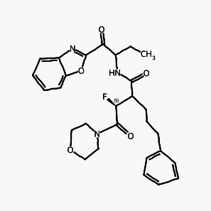 CCC(NC(=O)C(CCCc1ccccc1)[C@H](F)C(=O)N1CCOCC1)C(=O)c1nc2ccccc2o1